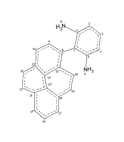 Nc1cccc(N)c1-c1ccc2ccc3cccc4ccc1c2c34